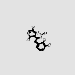 CCN(N=C(Cc1cccc(Cl)c1Cl)c1cc(Br)cnc1Cl)C(=O)O